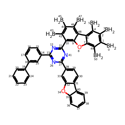 Bc1c(B)c(B)c2c(oc3c(-c4nc(-c5cccc(-c6ccccc6)c5)nc(-c5ccc6c(c5)oc5ccccc56)n4)c(B)c(B)c(B)c32)c1B